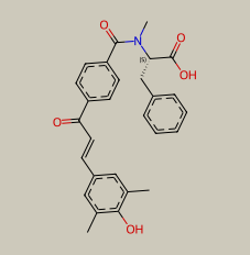 Cc1cc(C=CC(=O)c2ccc(C(=O)N(C)[C@@H](Cc3ccccc3)C(=O)O)cc2)cc(C)c1O